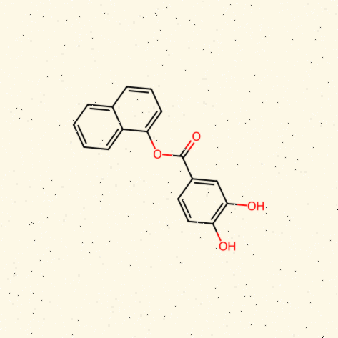 O=C(Oc1cccc2ccccc12)c1ccc(O)c(O)c1